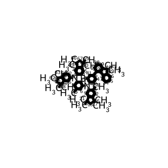 Cc1cc2c3c(c1)N(c1cc4c(cc1C)C(C)(C)CC4(C)C)c1ccc(-c4cccc5c4-c4ccccc4C5(C)C)cc1B3c1cc3c(cc1N2c1ccc2c(c1)C(C)(C)CC2(C)C)C(C)(C)CC3(C)C